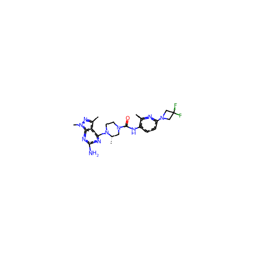 Cc1nc(N2CC(F)(F)C2)ccc1NC(=O)N1CCN(c2nc(N)nc3c2c(C)nn3C)[C@@H](C)C1